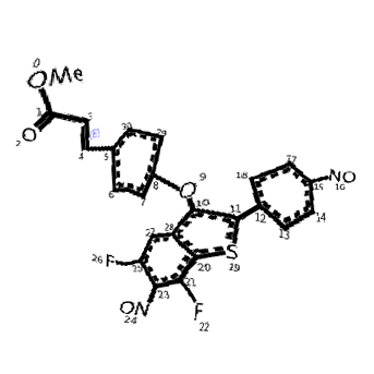 COC(=O)/C=C/c1ccc(Oc2c(-c3ccc(N=O)cc3)sc3c(F)c(N=O)c(F)cc23)cc1